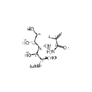 C=C(C)C(N)=O.CC(=O)N[C@@H](C=O)[C@@H](O)[C@@H](O)[C@H](O)CO